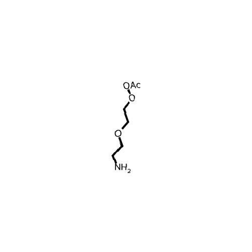 CC(=O)OOCCOCCN